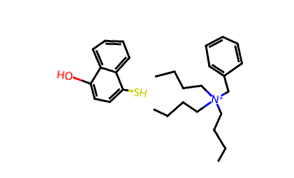 CCCC[N+](CCCC)(CCCC)Cc1ccccc1.Oc1ccc(S)c2ccccc12